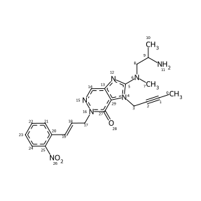 CC#CCn1c(N(C)CC(C)N)nc2cnn(C/C=C/c3ccccc3[N+](=O)[O-])c(=O)c21